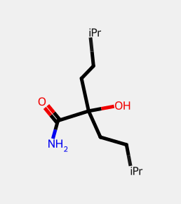 CC(C)CCC(O)(CCC(C)C)C(N)=O